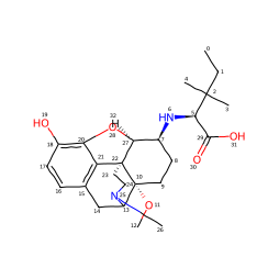 CCC(C)(C)[C@H](N[C@H]1CC[C@@]2(OC)C3Cc4ccc(O)c5c4[C@@]2(CCN3C)[C@H]1O5)C(=O)O